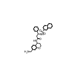 NCc1ccc2c(c1)OCCC2NC(=O)CC(NS(=O)(=O)c1ccc2ccccc2c1)c1ccccc1